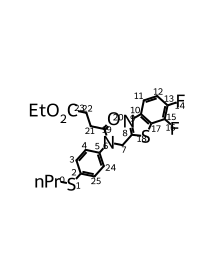 CCCSc1ccc(N(Cc2nc3ccc(F)c(F)c3s2)C(=O)CCC(=O)OCC)cc1